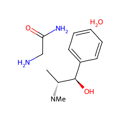 CN[C@H](C)[C@H](O)c1ccccc1.NCC(N)=O.O